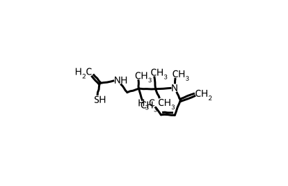 C=C(S)NCC(C)(C)C(C)(C)N(C)C(=C)/C=C\C